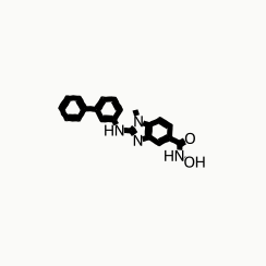 Cn1c(Nc2cccc(-c3ccccc3)c2)nc2cc(C(=O)NO)ccc21